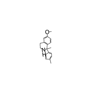 COc1ccc2c(c1)CCNC2(C)c1ccc(C)cc1